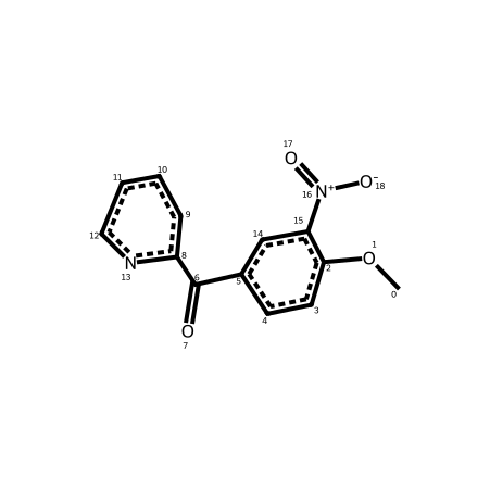 COc1ccc(C(=O)c2ccccn2)cc1[N+](=O)[O-]